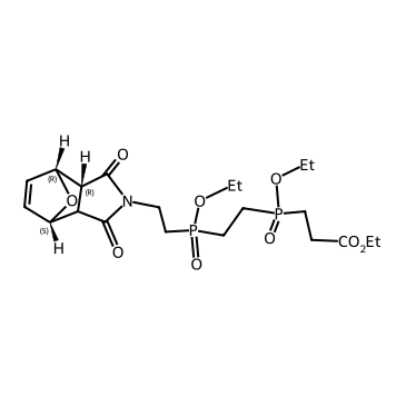 CCOC(=O)CCP(=O)(CCP(=O)(CCN1C(=O)C2[C@@H]3C=C[C@@H](O3)[C@@H]2C1=O)OCC)OCC